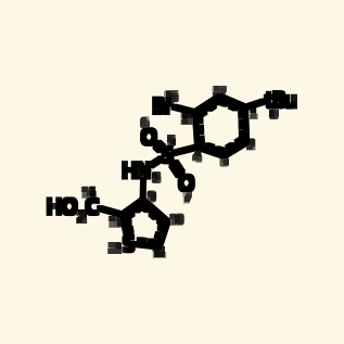 CC(C)(C)c1ccc(S(=O)(=O)Nc2ccsc2C(=O)O)c(Br)c1